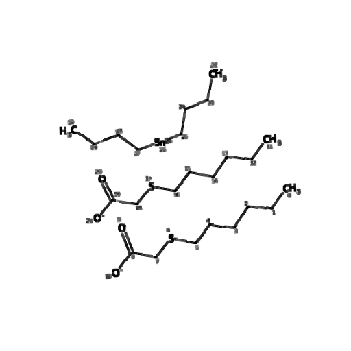 CCCCCCSCC(=O)[O-].CCCCCCSCC(=O)[O-].CCC[CH2][Sn+2][CH2]CCC